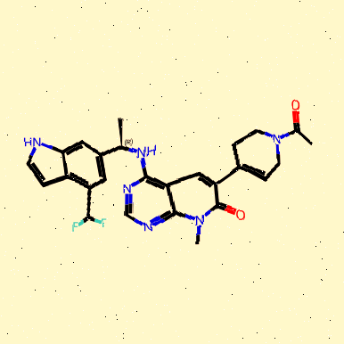 CC(=O)N1CC=C(c2cc3c(N[C@H](C)c4cc(C(F)F)c5cc[nH]c5c4)ncnc3n(C)c2=O)CC1